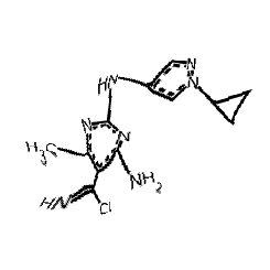 Cc1nc(Nc2cnn(C3CC3)c2)nc(N)c1C(=N)Cl